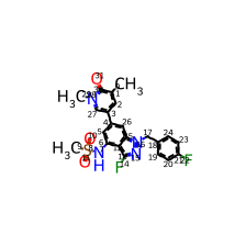 Cc1cc(-c2cc(NS(C)(=O)=O)c3c(F)nn(Cc4ccc(F)cc4)c3c2)cn(C)c1=O